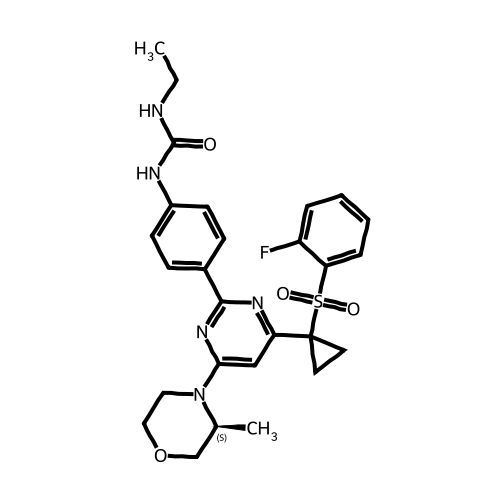 CCNC(=O)Nc1ccc(-c2nc(N3CCOC[C@@H]3C)cc(C3(S(=O)(=O)c4ccccc4F)CC3)n2)cc1